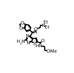 CCN(CC)CCON=C(c1ccc2c(c1)OCO2)c1nc(N)nc2sc(C(=O)NCCOC)cc12